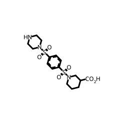 O=C(O)C1CCCN(S(=O)(=O)c2ccc(S(=O)(=O)N3CCNCC3)cc2)C1